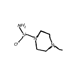 CN1CCN([S+](N)[O-])CC1